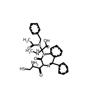 CNC(C(=O)O)(N(Cc1ccccc1)C(C)=O)N1C(=O)C(C(=O)C(N)CS)N=C(c2ccccc2)c2ccccc21